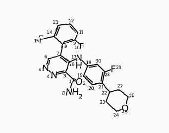 NC(=O)c1nncc(-c2c(F)cccc2F)c1Nc1ccc(C2CCOCC2)c(F)c1